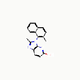 Cc1ccc2ccccc2c1-n1c(C)nc2ccc(O)nc21